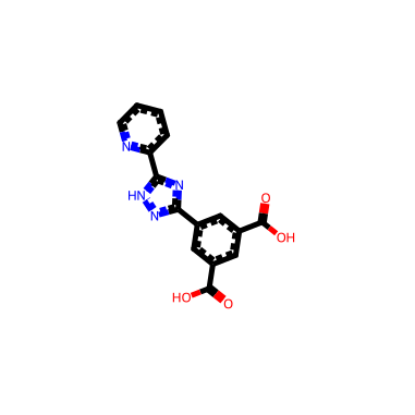 O=C(O)c1cc(C(=O)O)cc(-c2n[nH]c(-c3ccccn3)n2)c1